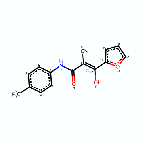 N#C/C(C(=O)Nc1ccc(C(F)(F)F)cc1)=C(/O)c1ccco1